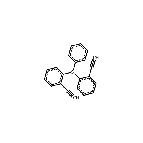 C#Cc1ccccc1[Si](c1ccccc1)c1ccccc1C#C